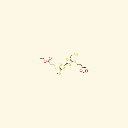 CCOC(=O)CCSC1=C(SC)S/C(=C2/SC(CS)=C(SCCC3COCO3)S2)S1